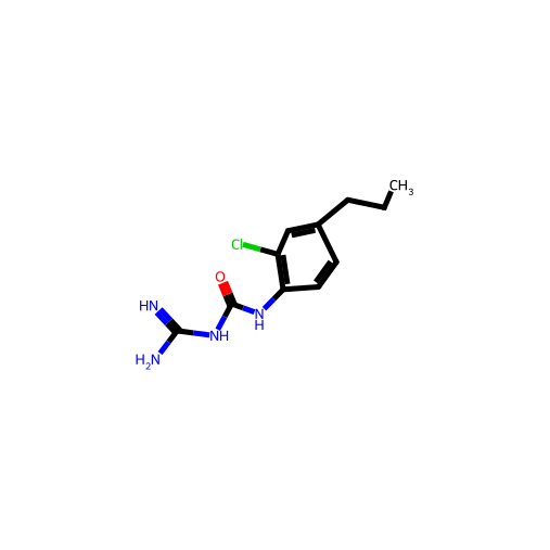 CCCc1ccc(NC(=O)NC(=N)N)c(Cl)c1